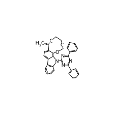 C=C1CCCCCOc2c1ccc1c3cnccc3n(-c3nc(-c4ccccc4)nc(-c4ccccc4)n3)c21